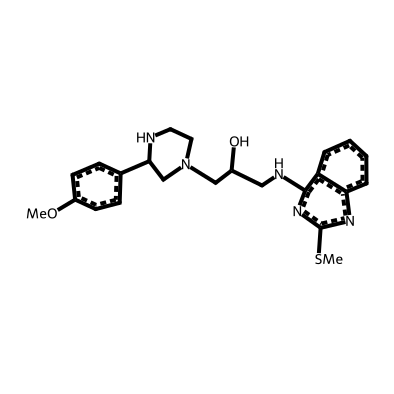 COc1ccc(C2CN(CC(O)CNc3nc(SC)nc4ccccc34)CCN2)cc1